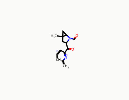 C=C/N=C(\C=C/C)C(=O)C1CC2(C)CC2N1C=O